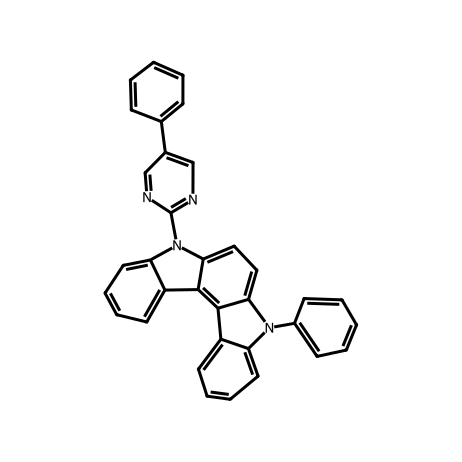 c1ccc(-c2cnc(-n3c4ccccc4c4c5c6ccccc6n(-c6ccccc6)c5ccc43)nc2)cc1